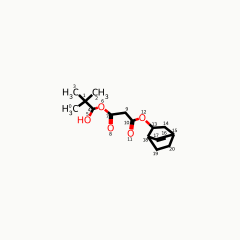 CC(C)(C)C(O)OC(=O)CC(=O)OC1CC2C=CC1CC2